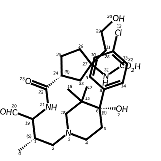 C[C@@H](CN1CC[C@](O)(c2ccc(Cl)cc2)C(C)(C)C1)C(C=O)NC(=O)[C@@H]1CCC(CCO)(NC(=O)O)C1